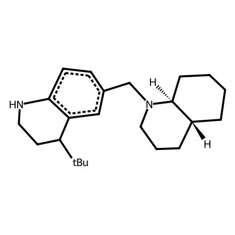 CC(C)(C)C1CCNc2ccc(CN3CCC[C@H]4CCCC[C@@H]43)cc21